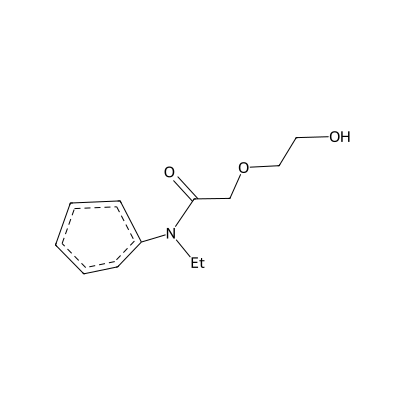 CCN(C(=O)COCCO)c1ccccc1